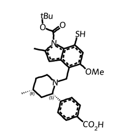 COc1cc(S)c2c(cc(C)n2C(=O)OC(C)(C)C)c1CN1CC[C@@H](C)C[C@H]1c1ccc(C(=O)O)cc1